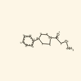 NOCC(=O)N1CCN(c2ccccc2)CC1